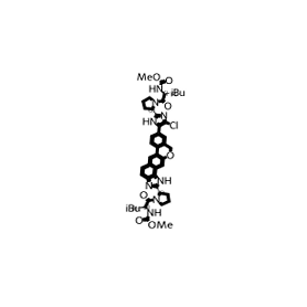 CC[C@@H](C)[C@H](NC(=O)OC)C(=O)N1CCC[C@H]1c1nc(Cl)c(-c2ccc3c(c2)COc2cc4c(ccc5nc([C@@H]6CCCN6C(=O)[C@@H](NC(=O)OC)[C@H](C)CC)[nH]c54)cc2-3)[nH]1